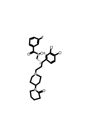 CN(C[C@@H](CCN1CCC(N2CCCCC2=O)CC1)c1ccc(Cl)c(Cl)c1)C(=O)c1cccc(F)c1